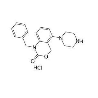 Cl.O=C1OCc2c(N3CCNCC3)cccc2N1Cc1ccccc1